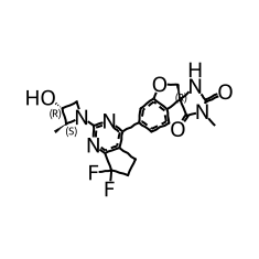 C[C@H]1[C@H](O)CN1c1nc(-c2ccc3c(c2)OC[C@]32NC(=O)N(C)C2=O)c2c(n1)C(F)(F)CC2